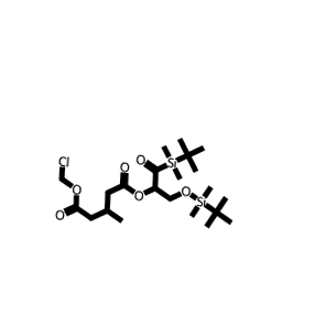 CC(CC(=O)OCCl)CC(=O)OC(CO[Si](C)(C)C(C)(C)C)C(=O)[Si](C)(C)C(C)(C)C